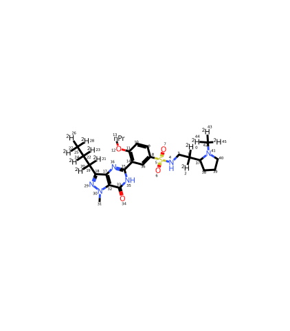 [2H]C([2H])(CNS(=O)(=O)c1ccc(OCCC)c(-c2nc3c(C([2H])([2H])C([2H])([2H])C([2H])([2H])[2H])nn(C)c3c(=O)[nH]2)c1)C1CCCN1C([2H])([2H])[2H]